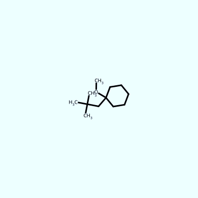 COC1(CC(C)(C)C)CCCCC1